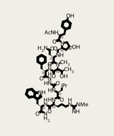 CNC(=N)NCCC[C@H](NC(=O)[C@H](CC(C)C)NC(=O)NNC(=O)[C@H](Cc1ccccc1)NC(=O)[C@H]([C@@H](C)O)N(C)C(=O)[C@H](CC(N)=O)NC(=O)[C@@H]1C[C@@H](O)CN1C(=O)[C@@H](Cc1ccc(O)cc1)NC(C)=O)C(=O)N[C@@H](Cc1c[nH]c2ccccc12)C(N)=O